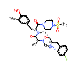 CC(C)[C@@H](C(=O)N(C)[C@@H](Cc1ccc(O)c(C(C)(C)C)c1)C(=O)N1CCN(S(C)(=O)=O)CC1)N(C)OC[C@@H](N)Cc1ccc(F)cc1